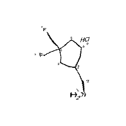 Cl.NCC1CCC(F)(F)C1